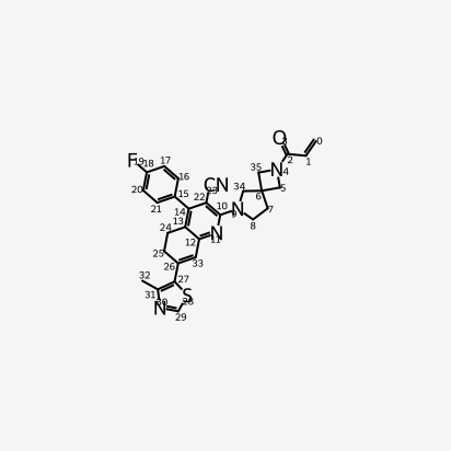 C=CC(=O)N1CC2(CCN(c3nc4c(c(-c5ccc(F)cc5)c3C#N)CCC(c3scnc3C)=C4)C2)C1